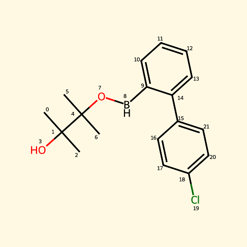 CC(C)(O)C(C)(C)OBc1ccccc1-c1ccc(Cl)cc1